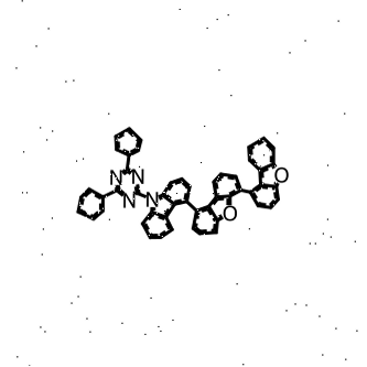 c1ccc(-c2nc(-c3ccccc3)nc(-n3c4ccccc4c4c(-c5cccc6oc7c(-c8cccc9oc%10ccccc%10c89)cccc7c56)cccc43)n2)cc1